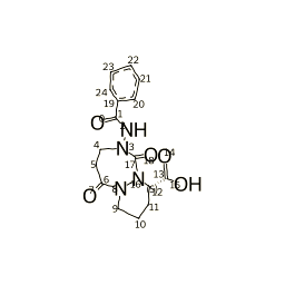 O=C(NN1CCC(=O)N2CCC[C@@H](C(=O)O)N2C1=O)c1ccccc1